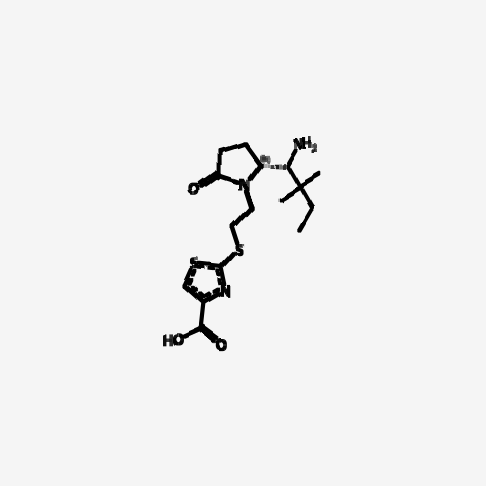 CCC(C)(C)C(N)[C@H]1CCC(=O)N1CCSc1nc(C(=O)O)cs1